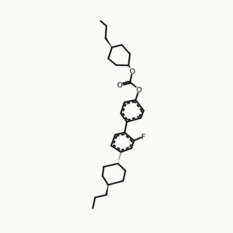 CCC[C@H]1CC[C@H](OC(=O)Oc2ccc(-c3ccc([C@H]4CC[C@H](CCC)CC4)cc3F)cc2)CC1